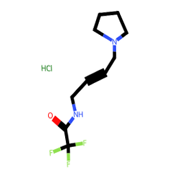 Cl.O=C(NCC#CCN1CCCC1)C(F)(F)F